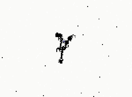 C=C(C)C(=O)OCCCCCCOc1ccc(C(=O)Oc2ccc(-c3ccc(CCC)cc3)cc2/C(C)=N/N(CCCCCOC(=O)C(=C)F)c2nc3c(ccc4ccccc43)s2)cc1